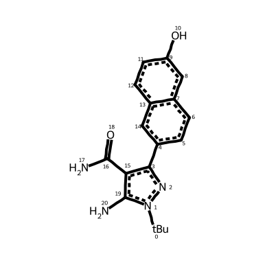 CC(C)(C)n1nc(-c2ccc3cc(O)ccc3c2)c(C(N)=O)c1N